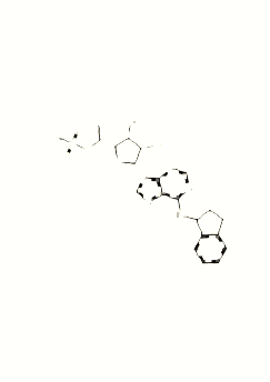 CC(OS(N)(=O)=O)[C@H]1O[C@@H](n2cnc3c(NC4CCc5ccccc54)ncnc32)[C@H](O)[C@@H]1O